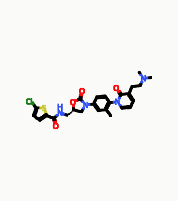 Cc1cc(N2C[C@H](CNC(=O)c3ccc(Cl)s3)OC2=O)ccc1-n1cccc(CCN(C)C)c1=O